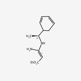 CCOC(=O)/C=C(\N)N[C@@H](C)C1C=CC=CC1